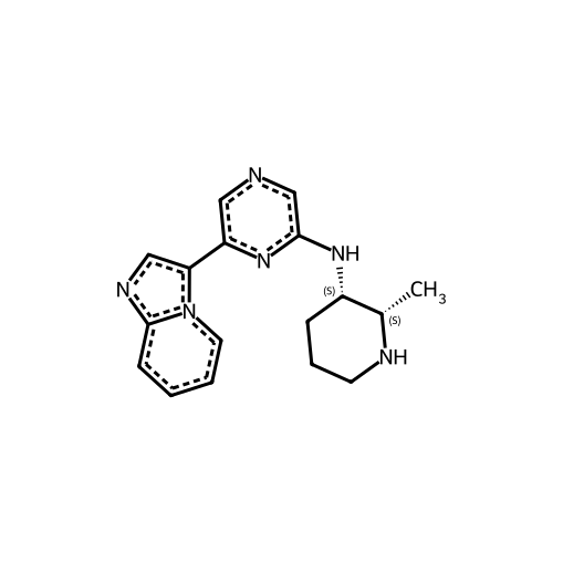 C[C@@H]1NCCC[C@@H]1Nc1cncc(-c2cnc3ccccn23)n1